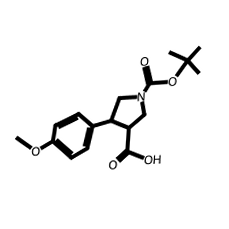 COc1ccc(C2CN(C(=O)OC(C)(C)C)CC2C(=O)O)cc1